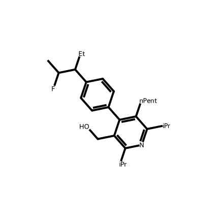 CCCCCc1c(C(C)C)nc(C(C)C)c(CO)c1-c1ccc(C(CC)C(C)F)cc1